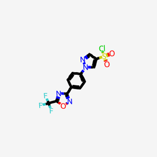 O=S(=O)(Cl)c1cnn(-c2ccc(-c3noc(C(F)(F)F)n3)cc2)c1